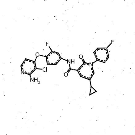 Nc1nccc(Oc2ccc(NC(=O)c3cc(C4CC4)cn(-c4ccc(F)cc4)c3=O)cc2F)c1Cl